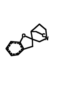 c1ccc2c(c1)CC1(CN3CCC1CC3)O2